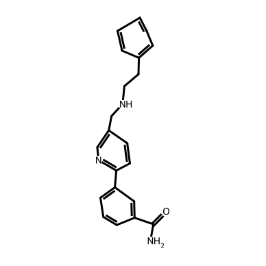 NC(=O)c1cccc(-c2ccc(CNCCc3ccccc3)cn2)c1